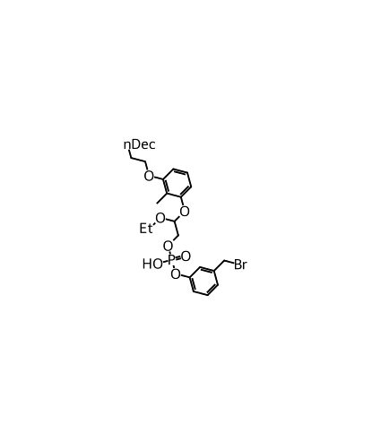 CCCCCCCCCCCCOc1cccc(OC(COP(=O)(O)Oc2cccc(CBr)c2)OCC)c1C